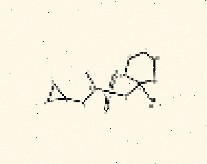 CN(CC1CC1)S(=O)(=O)CC1(N)CCCCC1